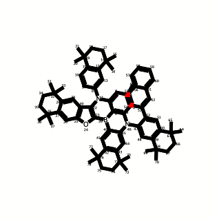 Cc1cc2c3c(c1)N(c1ccc4c(c1)C(C)(C)CCC4(C)C)c1c(oc4cc5c(cc14)C(C)(C)CCC5(C)C)B3c1cc3c(cc1N2c1cc2c(cc1-c1ccc4ccccc4c1)C(C)(C)CCC2(C)C)C(C)(C)CCC3(C)C